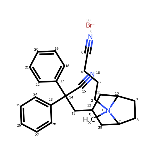 C[N+]1(CCCC#N)C2CCC1CC(CC(C#N)(c1ccccc1)c1ccccc1)C2.[Br-]